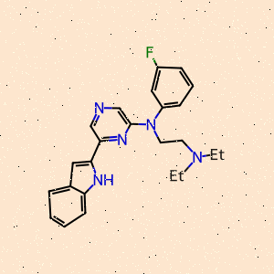 CCN(CC)CCN(c1cccc(F)c1)c1cncc(-c2cc3ccccc3[nH]2)n1